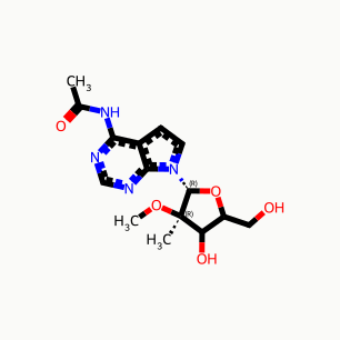 CO[C@]1(C)C(O)C(CO)O[C@H]1n1ccc2c(NC(C)=O)ncnc21